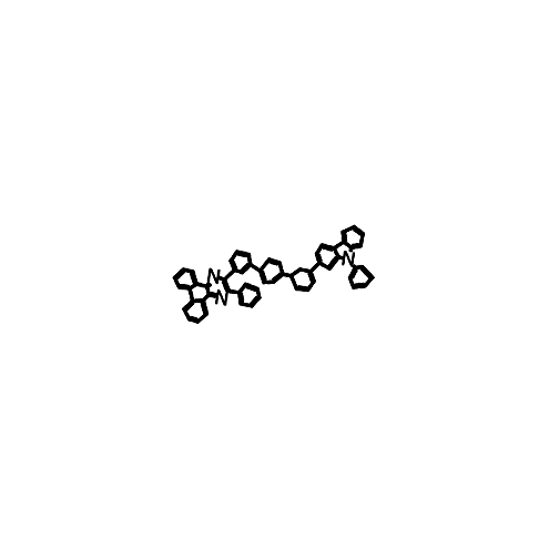 C1=CC(c2ccc(-c3cccc(-c4nc5c6ccccc6c6ccccc6c5nc4-c4ccccc4)c3)cc2)CC(c2ccc3c4ccccc4n(-c4ccccc4)c3c2)=C1